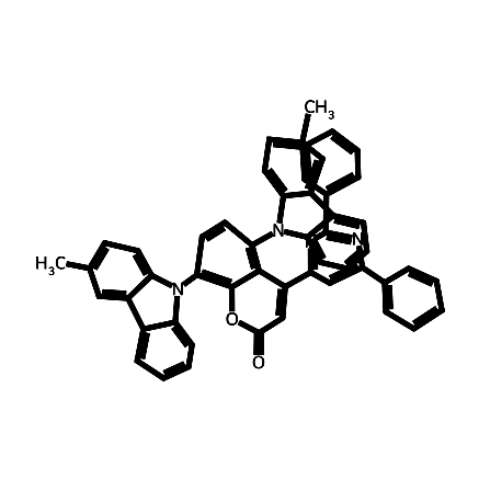 Cc1ccc2c(c1)c1ccccc1n2-c1ccc(-n2c3ccccc3c3cc(C)ccc32)c2c(-c3cc(-c4ccccc4)nc(-c4ccccc4)n3)cc(=O)oc12